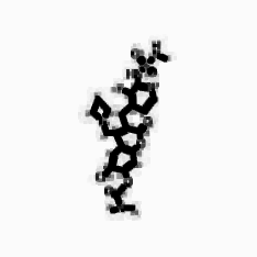 CNS(=O)(=O)Nc1nccc(Cc2c(CN3CCC3)c3cc(Cl)c(OC(=O)N(C)C)cc3oc2=O)c1F